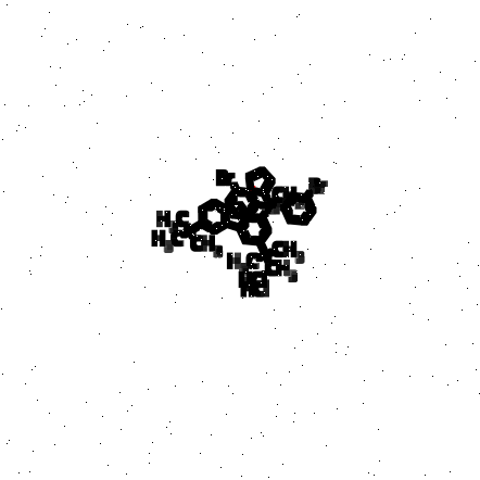 Cl.Cl.[CH2]=[Zr]([C]1=CC=CC1)([c]1cccc(Br)c1)([c]1cccc(Br)c1)[c]1cc(C(C)(C)C)cc2c1Cc1ccc(C(C)(C)C)cc1-2